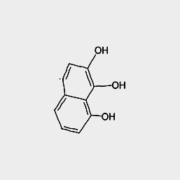 Oc1c[c]c2cccc(O)c2c1O